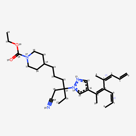 C=C/C=C(/C)C(/C=C\C)=C(C)c1cnn(C(CC)(CC#N)CCCC2CCN(C(=O)OCC)CC2)c1